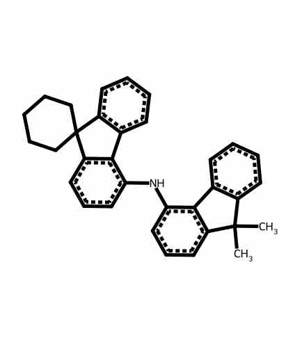 CC1(C)c2ccccc2-c2c(Nc3cccc4c3-c3ccccc3C43CCCCC3)cccc21